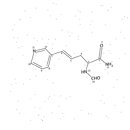 NC(=O)C(CC=Cc1cccnc1)NC=O